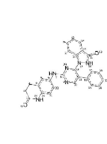 O=C1CCc2cc(Nc3ncc(-c4ccccc4)c(-n4[nH]c(=O)c5ccccc54)n3)ccc2N1